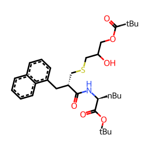 CCCC[C@H](NC(=O)[C@@H](CSCC(O)COC(=O)C(C)(C)C)Cc1cccc2ccccc12)C(=O)OC(C)(C)C